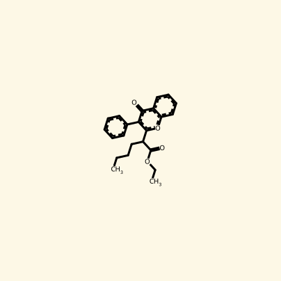 CCCCC(C(=O)OCC)c1oc2ccccc2c(=O)c1-c1ccccc1